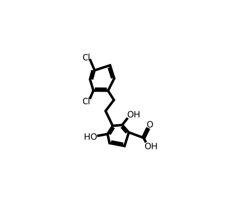 O=C(O)c1ccc(O)c(CCc2ccc(Cl)cc2Cl)c1O